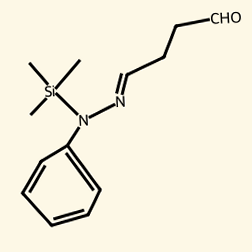 C[Si](C)(C)N(N=CCCC=O)c1ccccc1